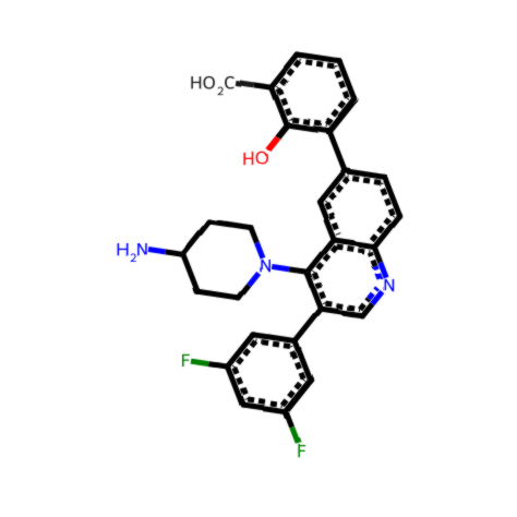 NC1CCN(c2c(-c3cc(F)cc(F)c3)cnc3ccc(-c4cccc(C(=O)O)c4O)cc23)CC1